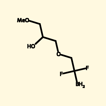 BC(F)(F)COCC(O)COC